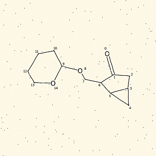 O=C1CC2CC2C1COC1CCCCO1